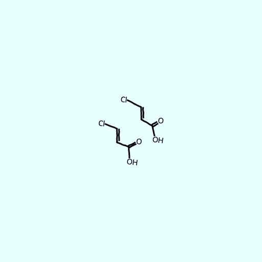 O=C(O)C=CCl.O=C(O)C=CCl